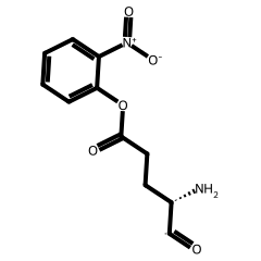 N[C@H]([C]=O)CCC(=O)Oc1ccccc1[N+](=O)[O-]